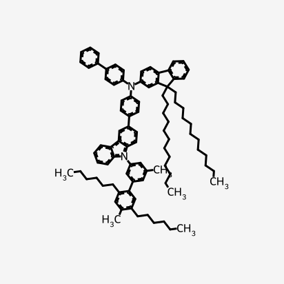 CCCCCCCCCCCCC1(CCCCCCCCCCCC)c2ccccc2-c2ccc(N(c3ccc(-c4ccccc4)cc3)c3ccc(-c4ccc5c(c4)c4ccccc4n5-c4cc(C)cc(-c5cc(CCCCCC)c(C)cc5CCCCCC)c4)cc3)cc21